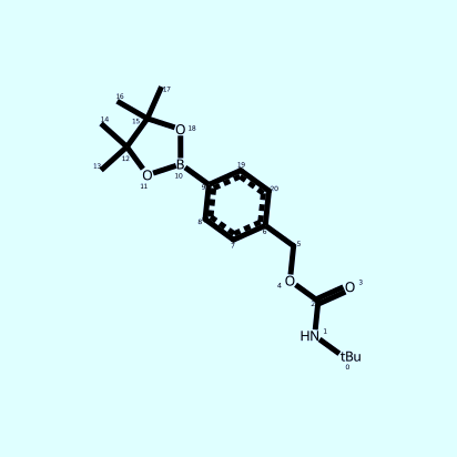 CC(C)(C)NC(=O)OCc1ccc(B2OC(C)(C)C(C)(C)O2)cc1